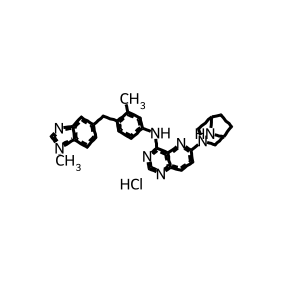 Cc1cc(Nc2ncnc3ccc(N4CC5CCC(C4)N5)nc23)ccc1Cc1ccc2c(c1)ncn2C.Cl